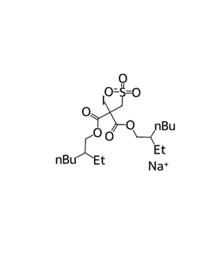 CCCCC(CC)COC(=O)C(I)(CS(=O)(=O)[O-])C(=O)OCC(CC)CCCC.[Na+]